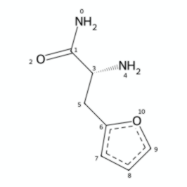 NC(=O)[C@H](N)Cc1ccco1